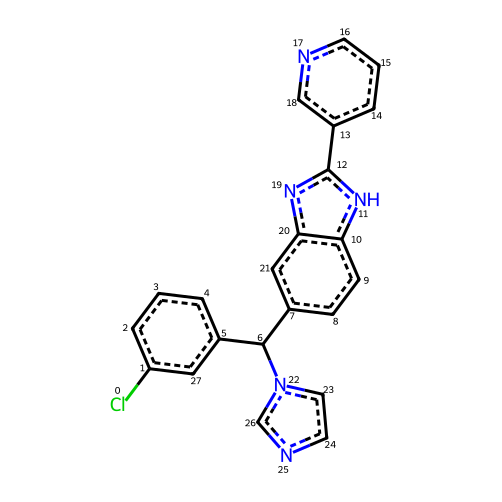 Clc1cccc(C(c2ccc3[nH]c(-c4cccnc4)nc3c2)n2ccnc2)c1